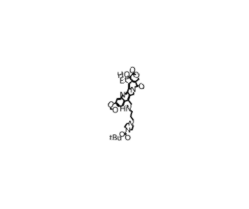 CC[C@@]1(O)C(=O)OCc2c1cc1n(c2=O)Cc2c-1nc1cc3c(cc1c2CNCCCN1CCN(C(=O)OC(C)(C)C)CC1)OCO3